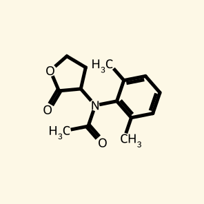 CC(=O)N(c1c(C)cccc1C)C1CCOC1=O